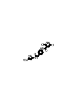 CC(C)(C)c1cc(NC(=O)Cc2ccc(NC(=O)c3cc(Cl)nnc3Cl)cc2)no1